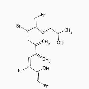 C=C(/C=C(Br)\C(O)=C\Br)C(=C)/C=C(Br)\C(=C\Br)OCC(C)O